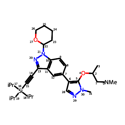 CNCC(C)Oc1c(-c2ccc3c(c2)c(C#C[Si](C(C)C)(C(C)C)C(C)C)nn3C2CCCCO2)cnn1C